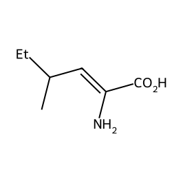 CCC(C)/C=C(\N)C(=O)O